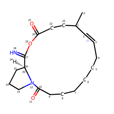 CC1/C=C\CCCCCCC(=O)N2CCC[C@H]2C(=N)OC(=O)CC1